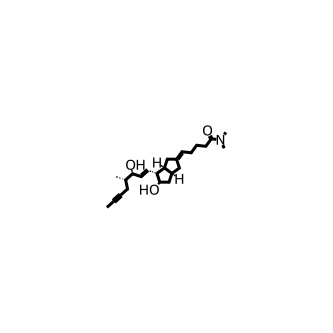 CC#CC[C@H](C)[C@H](O)/C=C/[C@@H]1[C@H]2C/C(=C/CCCC(=O)N(C)C)C[C@H]2C[C@H]1O